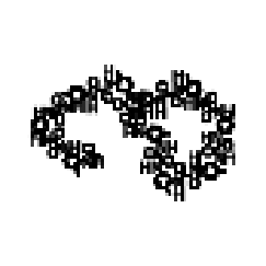 CC(=O)Nc1ccc(C)c(NC(=O)C(=O)Nc2ccc(C)c(NC(=O)C(=O)Nc3ccc(C)c(NC(=O)C(=O)Nc4ccc(C)c(NC(=O)C(=O)Nc5ccc(C)c(NC(=O)C(=O)Nc6ccc(C)c(NC(=O)C(=O)Nc7ccc(C)c(NC(=O)C(=O)Nc8ccc(C)c(NC(=O)C(=O)Nc9ccc(C)c(NC(=O)C(=O)Nc%10ccc(C)c(NC(C)=O)c%10)c9)c8)c7)c6)c5)c4)c3)c2)c1